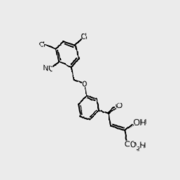 N#Cc1c(Cl)cc(Cl)cc1COc1cccc(C(=O)/C=C(\O)C(=O)O)c1